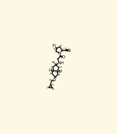 C[C@@]1(NCC(=O)N2C[C@@H](F)CC2C#N)C[C@H]2C[C@@H](OCC3CC3)C[C@H]2C1